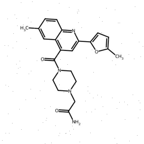 Cc1ccc2nc(-c3ccc(C)o3)cc(C(=O)N3CCN(CC(N)=O)CC3)c2c1